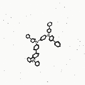 c1ccc(-c2ccc(N(c3ccc(-c4ccccc4)cc3)c3ccc(N(c4ccc(-c5ccccc5)cc4)c4ccc(-c5ccc6c(c5)c5ccccc5n6-c5ccccc5)cc4)cc3)cc2)cc1